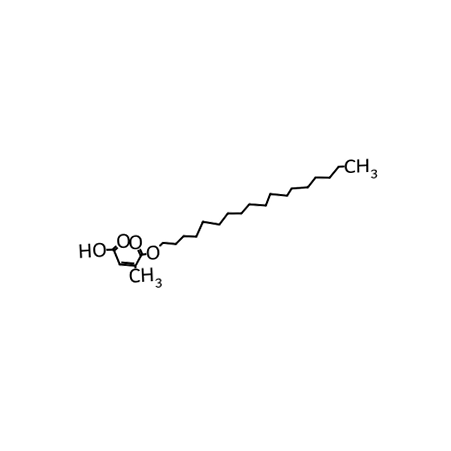 CCCCCCCCCCCCCCCCCCOC(=O)/C(C)=C\C(=O)O